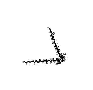 CCCCCCCCCCCCCCCCCC(CC)N1CCN(C)C1CCCCCCCCCCCCCCCCC